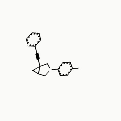 Clc1ccc(N2CC3CC3(C#Cc3ccccn3)C2)cc1